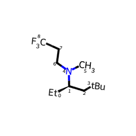 CC[C@H](CC(C)(C)C)N(C)CCC(F)(F)F